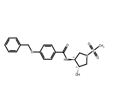 CS(=O)(=O)N1C[C@H](NC(=O)c2ccc(OCc3ccccc3)cc2)[C@@H](O)C1